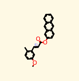 COc1ccc(C)c(/C=C/C(=O)Oc2ccc3cc4ccccc4cc3c2)c1